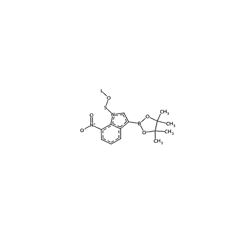 CC1(C)OB(c2cn(SOI)c3c([N+](=O)[O-])cccc23)OC1(C)C